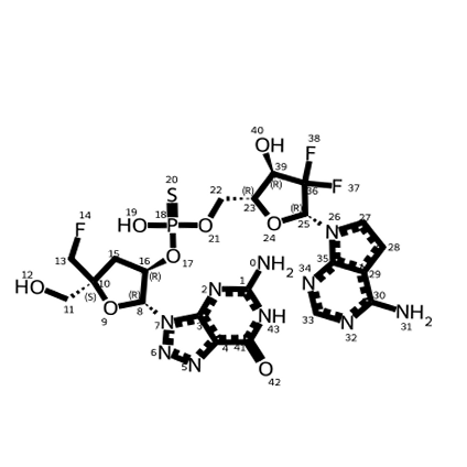 Nc1nc2c(nnn2[C@@H]2O[C@@](CO)(CF)C[C@H]2OP(O)(=S)OC[C@H]2O[C@@H](n3ccc4c(N)ncnc43)C(F)(F)[C@@H]2O)c(=O)[nH]1